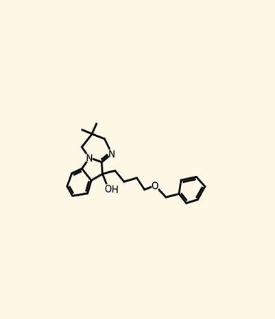 CC1(C)CN=C2N(C1)c1ccccc1C2(O)CCCCOCc1ccccc1